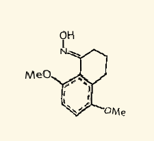 COc1ccc(OC)c2c1CCCC2=NO